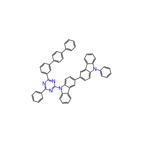 c1ccc(-c2ccc(-c3cccc(-c4nc(-c5ccccc5)nc(-n5c6ccccc6c6cc(-c7ccc8c(c7)c7ccccc7n8-c7ccccc7)ccc65)n4)c3)cc2)cc1